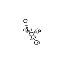 Cn1c(C2=CCCOC2)nc2c(N3CCOCC3)cc(NNC(=O)OCc3ccccc3)nc21